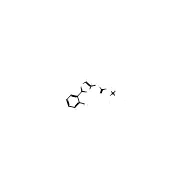 CC(C)(C)OC(=O)NC1=COC(c2ccccc2Br)O1